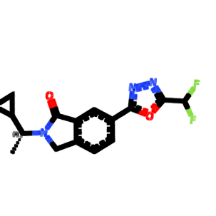 C[C@H](C1CC1)N1Cc2ccc(-c3nnc(C(F)F)o3)cc2C1=O